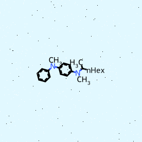 CCCCCCC(C)N(C)c1ccc(N(C)c2ccccc2)cc1